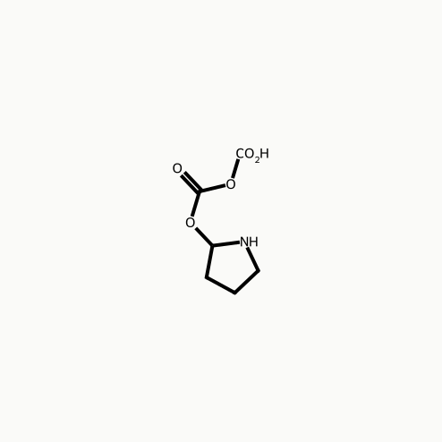 O=C(O)OC(=O)OC1CCCN1